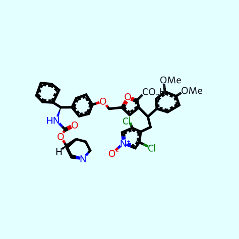 COc1ccc(C(Cc2c(Cl)c[n+]([O-])cc2Cl)c2cc(COc3ccc([C@@H](NC(=O)O[C@H]4CN5CCC4CC5)c4ccccc4)cc3)oc2C(=O)O)cc1OC